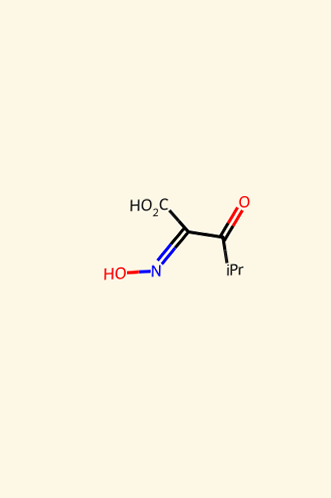 CC(C)C(=O)/C(=N/O)C(=O)O